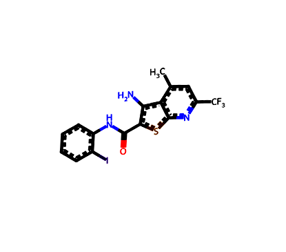 Cc1cc(C(F)(F)F)nc2sc(C(=O)Nc3ccccc3I)c(N)c12